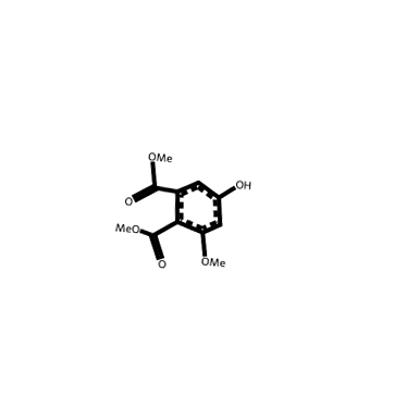 COC(=O)c1cc(O)cc(OC)c1C(=O)OC